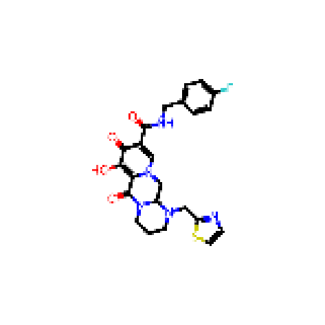 O=C(NCc1ccc(F)cc1)c1cn2c(c(O)c1=O)C(=O)N1CCCN(Cc3nccs3)C1C2